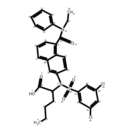 CCCCC(C(=O)O)N(c1ccc2c(C(=O)N(CC)c3ccccc3)cccc2c1)S(=O)(=O)c1cc(Cl)cc(Cl)c1